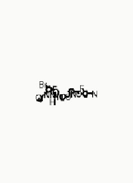 N#Cc1ccc(OCc2cccc(OC3CCN(CC(=O)Nc4c(F)cc(Br)cc4NCc4ccco4)CC3)n2)c(F)c1